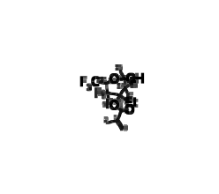 C=C(C)C(=O)OC1(CC)C(F)(F)C(C(F)(F)F)OC(C)(O)C1(F)F